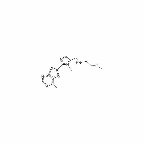 COCCNCc1cnc(-c2cc3nccc(C)c3s2)n1C